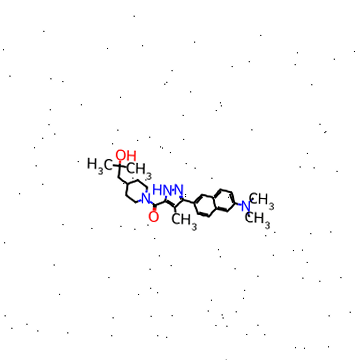 Cc1c(-c2ccc3cc(N(C)C)ccc3c2)n[nH]c1C(=O)N1CCC(CC(C)(C)O)CC1